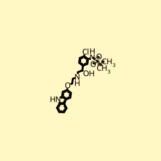 CN(C)S(=O)(=O)Nc1cc(C(O)CNCCOc2ccc3c(c2)[nH]c2ccccc23)ccc1Cl